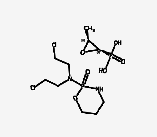 C[C@@H]1O[C@@H]1P(=O)(O)O.O=P1(N(CCCl)CCCl)NCCCO1